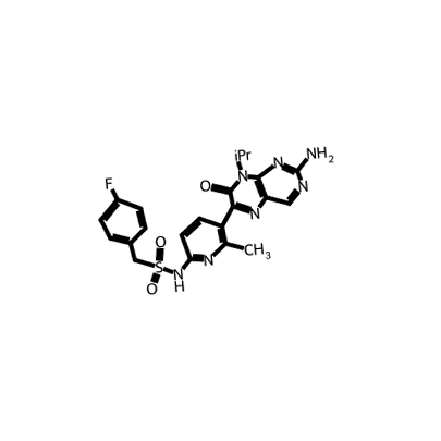 Cc1nc(NS(=O)(=O)Cc2ccc(F)cc2)ccc1-c1nc2cnc(N)nc2n(C(C)C)c1=O